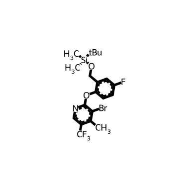 Cc1c(C(F)(F)F)cnc(Oc2ccc(F)cc2CO[Si](C)(C)C(C)(C)C)c1Br